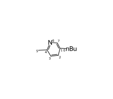 CCCCc1ccc(C)nc1